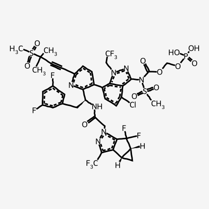 CC(C)(C#Cc1ccc(-c2ccc(Cl)c3c(N(C(=O)OCOP(=O)(O)O)S(C)(=O)=O)nn(CC(F)(F)F)c23)c([C@H](Cc2cc(F)cc(F)c2)NC(=O)Cn2nc(C(F)(F)F)c3c2C(F)(F)[C@@H]2C[C@H]32)n1)S(C)(=O)=O